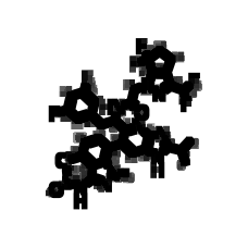 CC(C)c1nc2nc(C(Cc3cc(F)cc(F)c3)NC(=O)Cn3nc(C(F)F)c4c3C(F)(F)CC4)c(-c3ccc(Cl)c4c(N[S+](C)[O-])nn(C)c34)cc2[nH]1